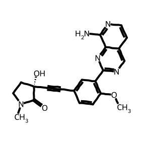 COc1ccc(C#C[C@]2(O)CCN(C)C2=O)cc1-c1ncc2ccnc(N)c2n1